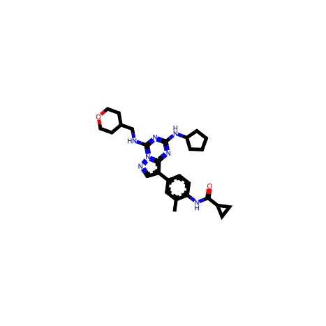 Cc1cc(-c2cnn3c(NCC4CCOCC4)nc(NC4CCCC4)nc23)ccc1NC(=O)C1CC1